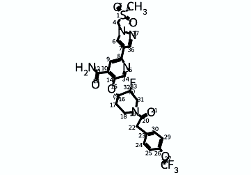 CS(=O)(=O)Cn1cc(-c2cc(C(N)=O)c(O[C@H]3CCN(C(=O)Cc4ccc(OC(F)(F)F)cc4)C[C@@H]3F)cn2)cn1